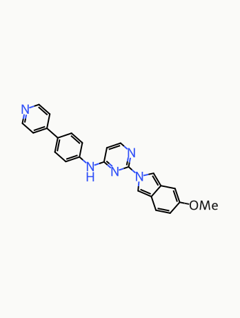 COc1ccc2cn(-c3nccc(Nc4ccc(-c5ccncc5)cc4)n3)cc2c1